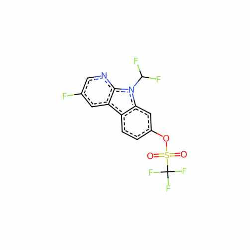 O=S(=O)(Oc1ccc2c3cc(F)cnc3n(C(F)F)c2c1)C(F)(F)F